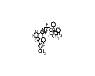 Cn1cnc(-c2cc3c(-c4cn(CC(F)(F)CO[Si](c5ccccc5)(c5ccccc5)C(C)(C)C)nc4-c4ccc(F)cc4)ncnc3o2)c1